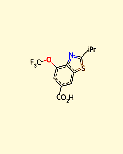 CC(C)c1nc2c(OC(F)(F)F)cc(C(=O)O)cc2s1